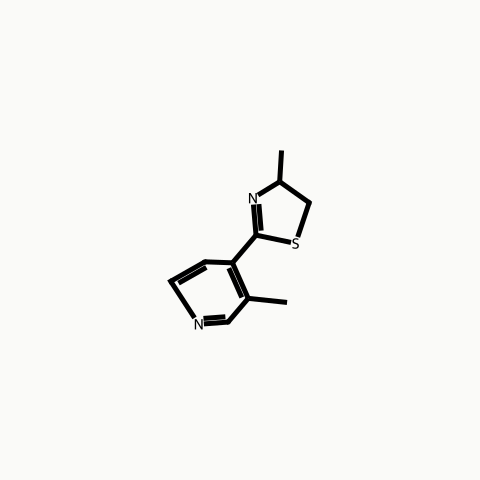 Cc1cnccc1C1=NC(C)CS1